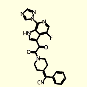 [C-]#[N+]C(=C1CCN(C(=O)C(=O)c2c[nH]c3c(-n4cncn4)ncc(F)c23)CC1)c1ccccc1